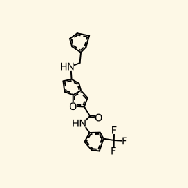 O=C(Nc1cccc(C(F)(F)F)c1)c1cc2cc(NCc3ccccc3)ccc2o1